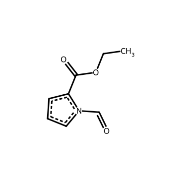 CCOC(=O)c1cccn1C=O